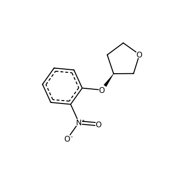 O=[N+]([O-])c1ccccc1O[C@H]1CCOC1